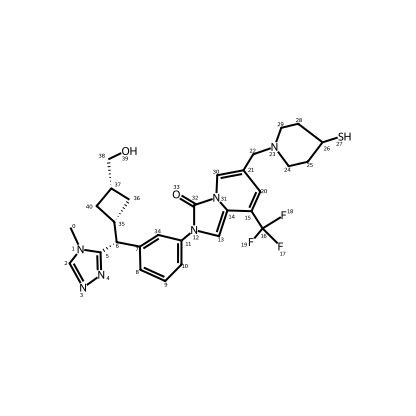 Cn1cnnc1[C@@H](c1cccc(-n2cc3c(C(F)(F)F)cc(CN4CCC(S)CC4)cn3c2=O)c1)[C@H]1C[C@@H](CO)C1